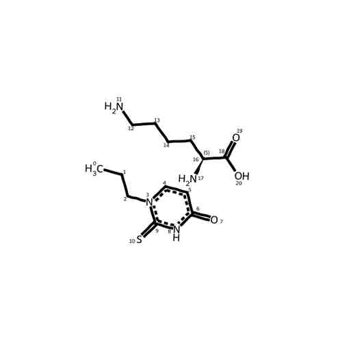 CCCn1ccc(=O)[nH]c1=S.NCCCC[C@H](N)C(=O)O